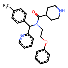 O=C(C1CCNCC1)N(CCOc1ccccc1)C(c1ccc(C(F)(F)F)cc1)c1ccccn1